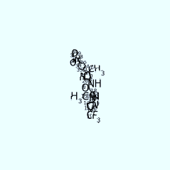 Cc1cc(NC(=O)c2cnn(-c3ccc(C(F)(F)F)cn3)c2C)cnc1C1=CCC(N2CCOCC2=O)CC1